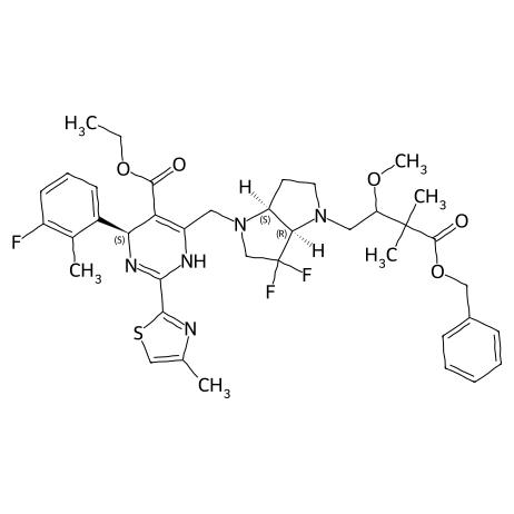 CCOC(=O)C1=C(CN2CC(F)(F)[C@H]3[C@@H]2CCN3CC(OC)C(C)(C)C(=O)OCc2ccccc2)NC(c2nc(C)cs2)=N[C@H]1c1cccc(F)c1C